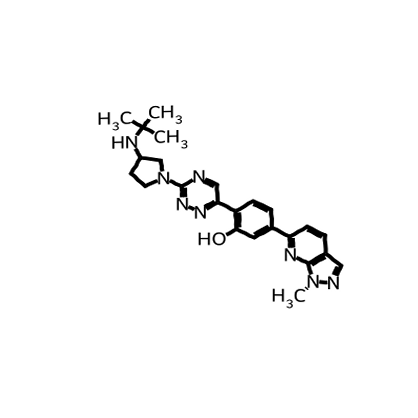 Cn1ncc2ccc(-c3ccc(-c4cnc(N5CCC(NC(C)(C)C)C5)nn4)c(O)c3)nc21